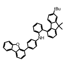 CC(C)(C)c1ccc2c(c1)C(C)(C)c1cccc(-c3ccccc3Nc3ccc(-c4cccc5c4oc4ccccc45)cc3)c1-2